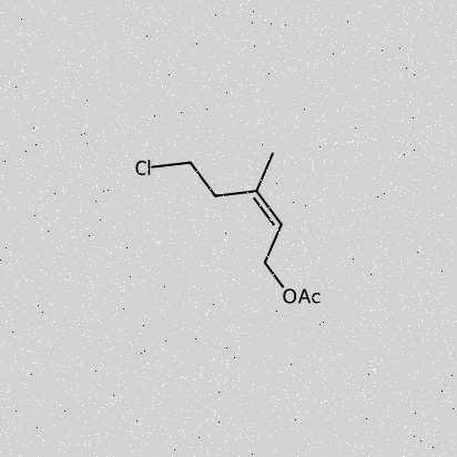 CC(=O)OCC=C(C)CCCl